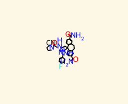 N#C[C@@H]1CCCN1C(=O)CNCCC1(c2nnc(-c3ccc(F)cc3)[nH]2)c2ccc(C(N)=O)cc2CCc2cc(C(N)=O)ccc21